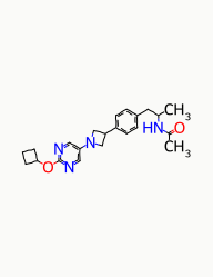 CC(=O)NC(C)Cc1ccc(C2CN(c3cnc(OC4CCC4)nc3)C2)cc1